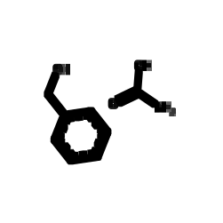 NC(=O)O.OCc1ccccc1